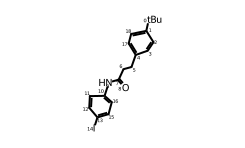 CC(C)(C)c1ccc(CCC(=O)Nc2ccc(I)cc2)cc1